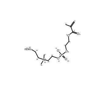 C=C(C)C(=O)OCCOP(=O)([O-])OCC[N+](C)(C)CCCCCCCCCCCC